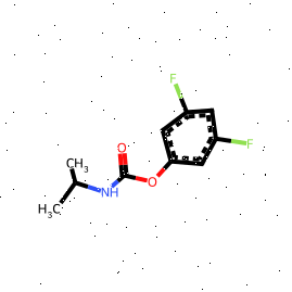 CC(C)NC(=O)Oc1cc(F)cc(F)c1